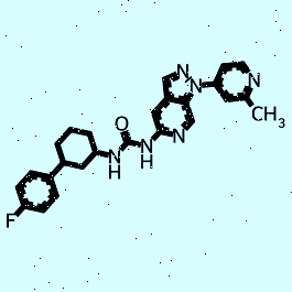 Cc1cc(-n2ncc3cc(NC(=O)NC4CCCC(c5ccc(F)cc5)C4)ncc32)ccn1